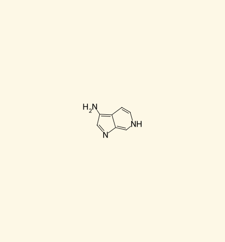 Nc1cnc2c[nH]ccc1-2